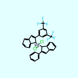 FC(F)(F)c1cc(C2=Cc3ccccc3[CH]2[Hf]([Cl])([Cl])[CH]2C(c3ccccc3)=Cc3ccccc32)cc(C(F)(F)F)c1